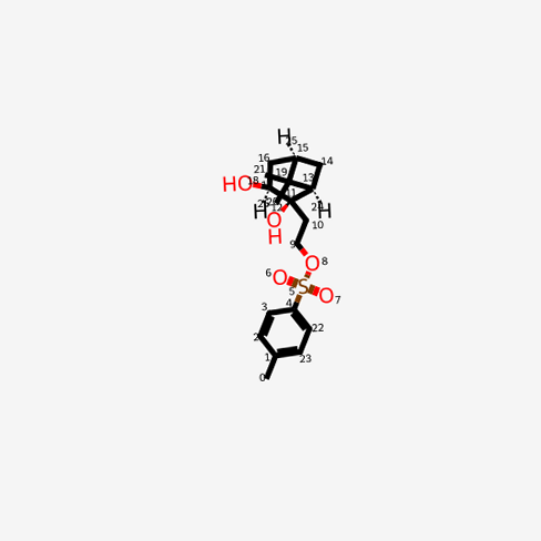 Cc1ccc(S(=O)(=O)OCC[C@@]2(O)[C@@H]3C[C@H](C[C@@H]2O)C3(C)C)cc1